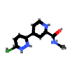 CNC(=O)c1cc(-c2ccc(Cl)nn2)ccn1